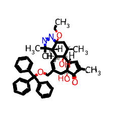 CCO[C@@]12C[C@@H](C)[C@@]3(O)[C@@H](C=C(COC(c4ccccc4)(c4ccccc4)c4ccccc4)C[C@]4(O)C(=O)C(C)=C[C@@H]34)[C@@H]1C(C)(C)N=N2